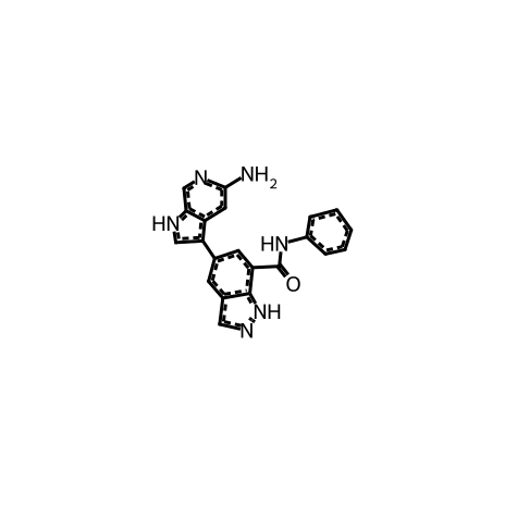 Nc1cc2c(-c3cc(C(=O)Nc4ccccc4)c4[nH]ncc4c3)c[nH]c2cn1